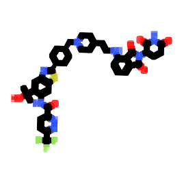 CC(C)(O)c1cc2nc([C@H]3CC[C@H](CN4CCC(CCNc5cccc6c5C(=O)N(C5CCC(=O)NC5=O)C6=O)CC4)CC3)sc2cc1NC(=O)c1ccc(C(F)(F)F)nn1